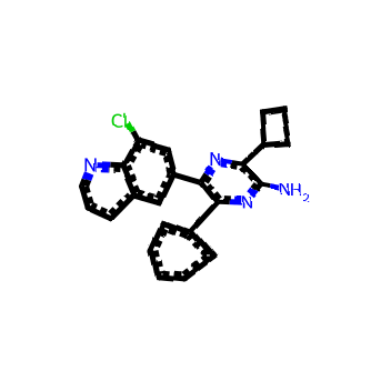 Nc1nc(-c2ccccc2)c(-c2cc(Cl)c3ncccc3c2)nc1C1CCC1